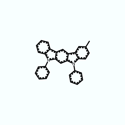 Cc1ccc2c(c1)c1cc3c4ccccc4n(-c4ccccc4)c3cc1n2-c1ccccc1